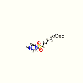 CCCCCCCCCCCCCCCCS(=O)(=O)N1CCN(C)CC1